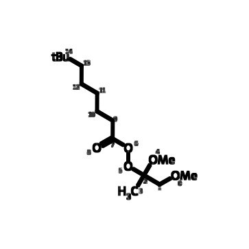 COCC(C)(OC)OOC(=O)CCCCCC(C)(C)C